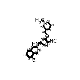 [C-]#[N+]c1ncc(Nc2cc3cccc(Cl)c3cn2)nc1OCC1CCCN(C)C1